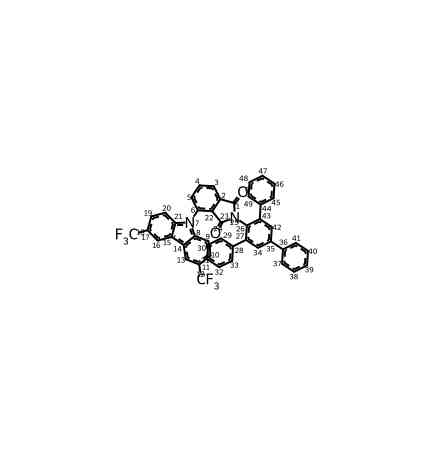 O=C1c2cccc(-n3c4ccc(C(F)(F)F)cc4c4cc(C(F)(F)F)ccc43)c2C(=O)N1c1c(-c2ccccc2)cc(-c2ccccc2)cc1-c1ccccc1